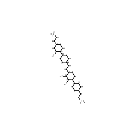 CCCC1CCC(C2CCC(CCC3CCC(C4CC[C@H](CCC)CC4F)CC3)C(F)C2F)CC1